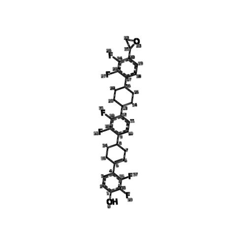 Oc1ccc(C2=CCC(c3ccc(C4CCC(c5ccc(C6CO6)c(F)c5F)CC4)c(F)c3F)CC2)c(F)c1F